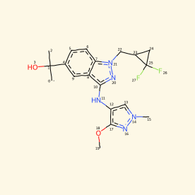 [CH2]C(C)(O)c1ccc2c(c1)c(Nc1cn(C)nc1OC)nn2CC1CC1(F)F